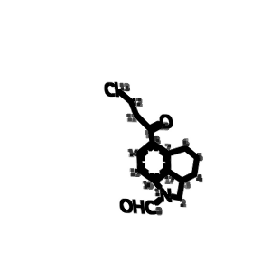 O=CN1CC2CCCc3c(C(=O)CCCl)ccc1c32